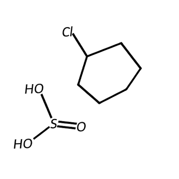 ClC1CCCCC1.O=S(O)O